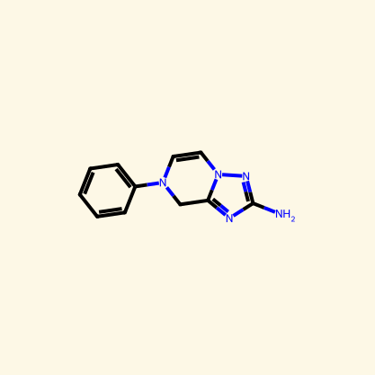 Nc1nc2n(n1)C=CN(c1ccccc1)C2